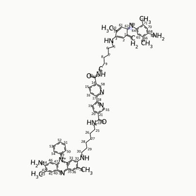 C=C1C=C(NCCCCCCNC(=O)c2ccc(-c3ccc(C(=O)NCCCCCCNc4cc5c(cc4C)nc4cc(C)c(N)cc4[n+]5-c4ccccc4)cn3)nc2)C(C)=C/C1=N/c1cc(C)c(N)cc1C